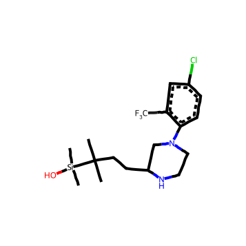 CC(C)(CCC1CN(c2ccc(Cl)cc2C(F)(F)F)CCN1)[Si](C)(C)O